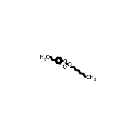 CCCCCCCCOC(=O)Oc1ccc(CCC)cc1